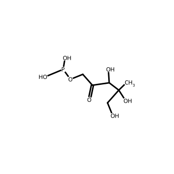 CC(O)(CO)C(O)C(=O)COP(O)O